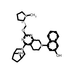 CN1CCC[C@H]1COc1nc2c(c(N3CC4CCC(C3)N4)n1)CCN(c1cc(O)cc3ccccc13)C2